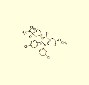 CC[C@@H](CS(=O)(=O)N(C)C)N1C(=O)[C@@H](CC(=O)OC)O[C@H](c2cccc(Cl)c2)[C@H]1c1ccc(Cl)cc1